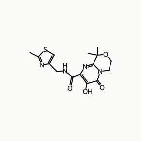 Cc1nc(CNC(=O)c2nc3n(c(=O)c2O)CCOC3(C)C)cs1